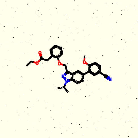 CCOC(=O)Cc1ccccc1OCc1nn(C(C)C)c2ccc(-c3cc(C#N)ccc3OC)cc12